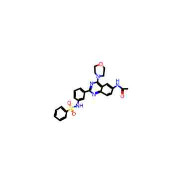 CC(=O)Nc1ccc2nc(-c3cccc(NS(=O)(=O)c4ccccc4)c3)nc(N3CCOCC3)c2c1